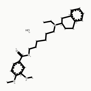 CCN(CCCCCCOC(=O)c1ccc(OC)c(OC)c1)C1CCc2ccccc2C1.Cl